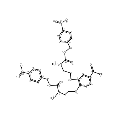 CN(CCOc1ccc(C(=O)O)cc1OCCN(C)C(=O)OCc1ccc([N+](=O)[O-])cc1)C(=O)OCc1ccc([N+](=O)[O-])cc1